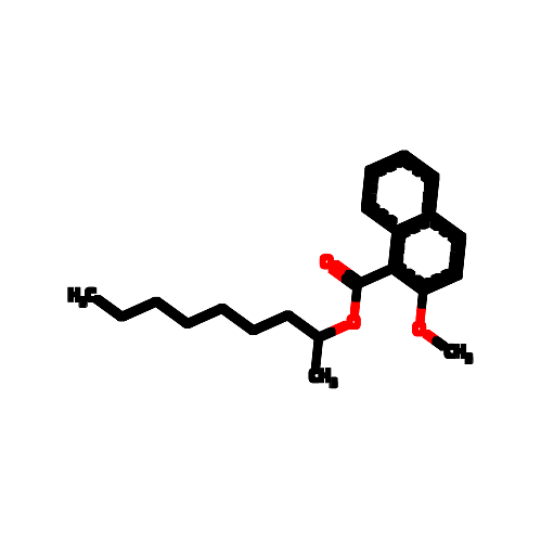 CCCCCCCC(C)OC(=O)c1c(OC)ccc2ccccc12